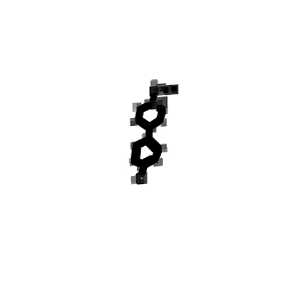 CCCCCC[SiH]1CCC(c2ccc(Cl)cc2)CC1